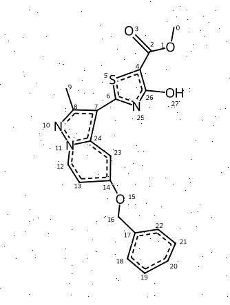 COC(=O)c1sc(-c2c(C)nn3ccc(OCc4ccccc4)cc23)nc1O